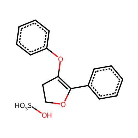 O=S(=O)(O)O.c1ccc(OC2=C(c3ccccc3)OCC2)cc1